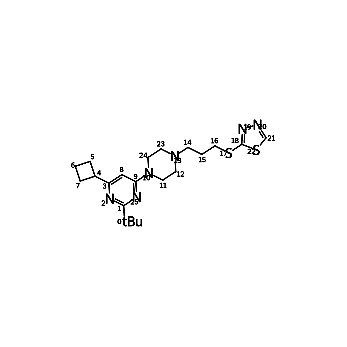 CC(C)(C)c1nc(C2CCC2)cc(N2CCN(CCCSc3nncs3)CC2)n1